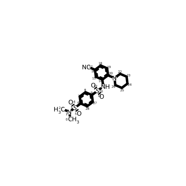 CN(C)S(=O)(=O)c1ccc(S(=O)(=O)Nc2cc(C#N)ccc2N2CCCCC2)cc1